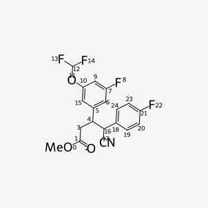 COC(=O)CC(c1cc(F)cc(OC(F)F)c1)C(C#N)c1ccc(F)cc1